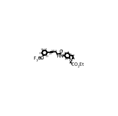 CCOC(=O)Cn1ccc2ccc(NC(=O)CCC#Cc3cccc(OC(F)(F)F)c3)cc21